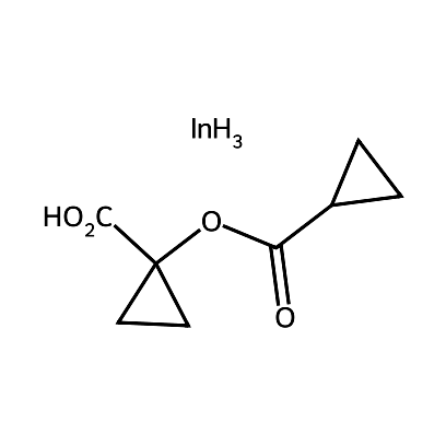 O=C(OC1(C(=O)O)CC1)C1CC1.[InH3]